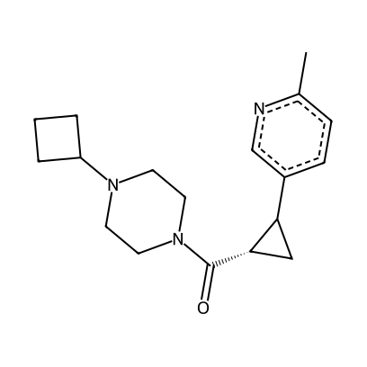 Cc1ccc(C2C[C@@H]2C(=O)N2CCN(C3CCC3)CC2)cn1